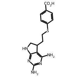 Nc1nc(N)c2c(n1)NCC2CCSc1ccc(C(=O)O)cc1